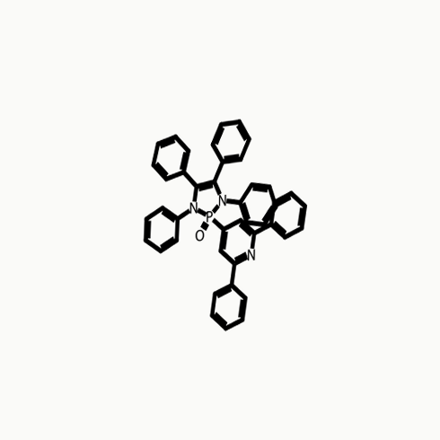 O=P1(c2cc(-c3ccccc3)nc(-c3ccccc3)c2)N(c2ccccc2)C(c2ccccc2)=C(c2ccccc2)N1c1ccccc1